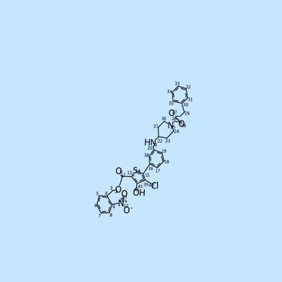 O=C(OCc1ccccc1[N+](=O)[O-])c1sc(-c2cccc(NC3CCN(S(=O)(=O)Cc4ccccc4)CC3)c2)c(Cl)c1O